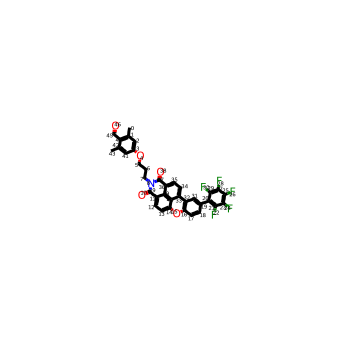 Cc1cc(OCCCn2c(=O)c3ccc4oc5ccc(-c6c(F)c(F)c(F)c(F)c6F)cc5c5ccc(c2=O)c3c45)cc(C)c1C=O